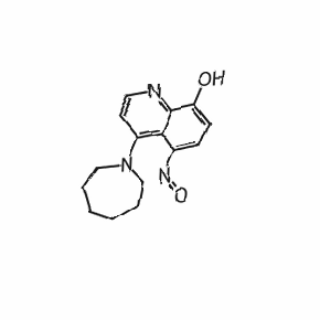 O=Nc1ccc(O)c2nccc(N3CCCCCC3)c12